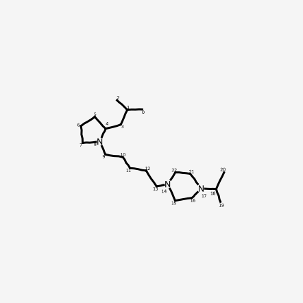 CC(C)CC1CCCN1CCCCCN1CCN(C(C)C)CC1